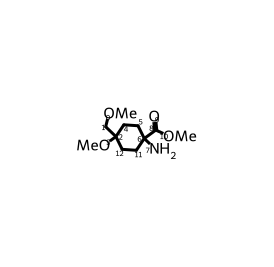 COCC1(OC)CCC(N)(C(=O)OC)CC1